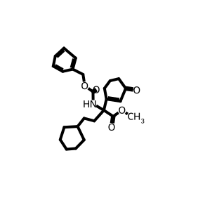 COC(=O)C(CCC1CCCCC1)(NC(=O)OCc1ccccc1)C1=CC(=O)CCC1